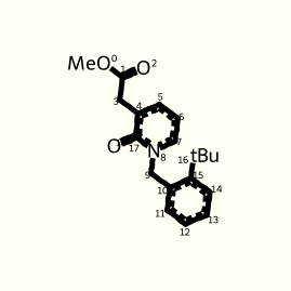 COC(=O)Cc1cccn(Cc2ccccc2C(C)(C)C)c1=O